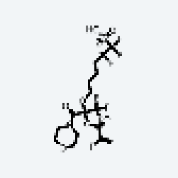 C=C(F)C(=O)OC(OCCCCC(F)(F)C(F)(F)S(=O)(=O)O)(C(=O)N1CCOCC1)C(F)(F)F